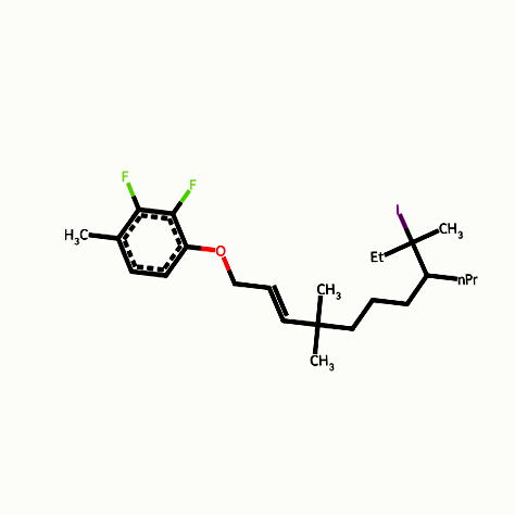 CCCC(CCCC(C)(C)C=CCOc1ccc(C)c(F)c1F)C(C)(I)CC